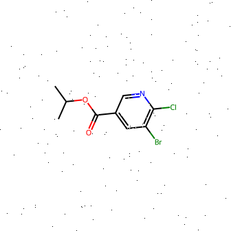 CC(C)OC(=O)c1cnc(Cl)c(Br)c1